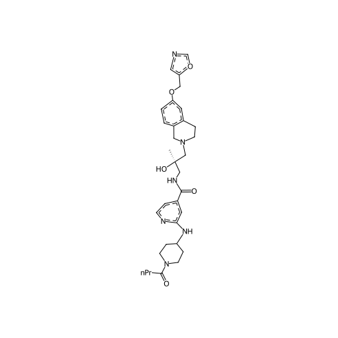 CCCC(=O)N1CCC(Nc2cc(C(=O)NC[C@@](C)(O)CN3CCc4cc(OCc5cnco5)ccc4C3)ccn2)CC1